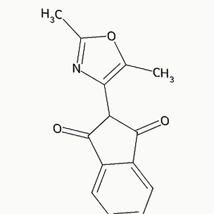 Cc1nc(C2C(=O)c3ccccc3C2=O)c(C)o1